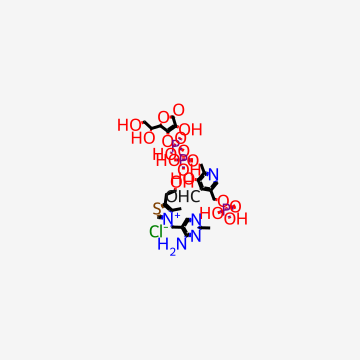 Cc1ncc(COP(=O)(O)O)c(C=O)c1O.Cc1ncc(C[n+]2csc(CCO)c2C)c(N)n1.O=C1O[C@H]([C@@H](O)CO)C(OP(=O)(O)OP(=O)(O)O)=C1O.[Cl-]